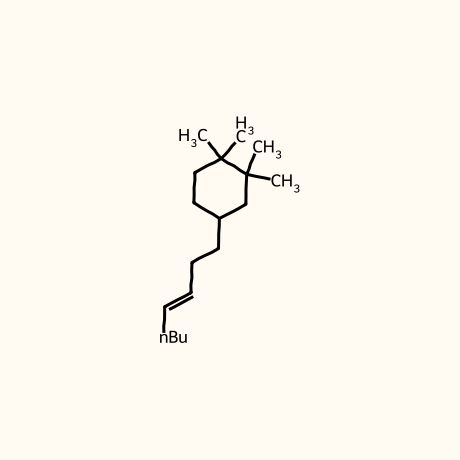 CCCCC=CCCC1CCC(C)(C)C(C)(C)C1